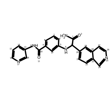 NC(=O)C(Nc1cccc(C(=O)Nc2cccnc2)c1)c1ccc2cnccc2c1